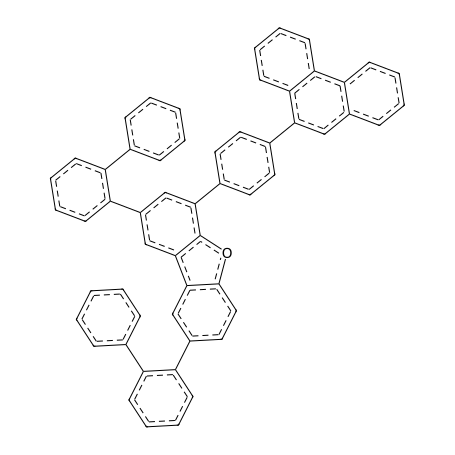 c1ccc(-c2ccccc2-c2ccc3oc4c(-c5ccc(-c6cc7ccccc7c7ccccc67)cc5)cc(-c5ccccc5-c5ccccc5)cc4c3c2)cc1